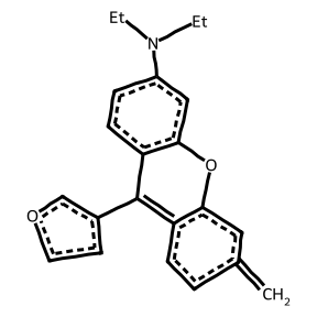 C=c1ccc2c(c1)Oc1cc(N(CC)CC)ccc1C=2c1ccoc1